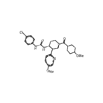 COc1ccc(C2CN(C(=O)C3CCC(OC)CC3)CCC2NC(=O)Nc2ccc(Cl)cc2)nc1